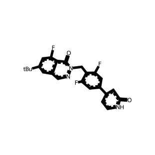 CC(C)(C)c1cc(F)c2c(=O)n(Cc3c(F)cc(-c4cc[nH]c(=O)c4)cc3F)ncc2c1